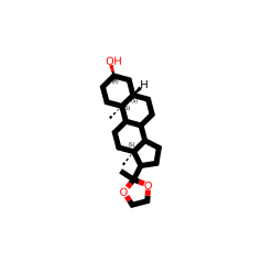 CC1(C2CCC3C4CC[C@H]5C[C@H](O)CC[C@]5(C)C4CC[C@@]32C)OCCO1